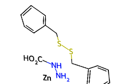 NNC(=O)O.[Zn].c1ccc(CSSCc2ccccc2)cc1